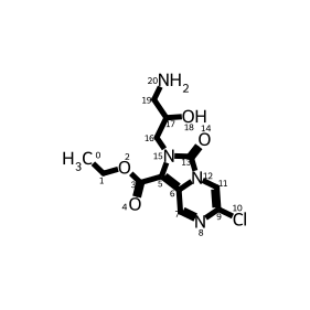 CCOC(=O)c1c2cnc(Cl)cn2c(=O)n1CC(O)CN